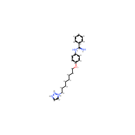 N=C(Nc1ccc(OCCCCCCCCn2ccnn2)cc1)c1ccccc1